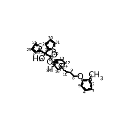 Cc1ccccc1OCCC[N+]12CCC(CC1)[C@@H](OC(=O)C(O)(c1cccs1)c1cccs1)C2